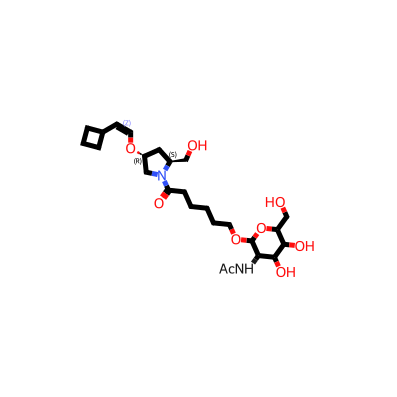 CC(=O)NC1C(OCCCCCC(=O)N2C[C@H](O/C=C\C3CCC3)C[C@H]2CO)OC(CO)C(O)C1O